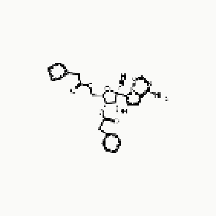 N#C[C@@]1(c2ccc3c(N)ncnn23)O[C@H](COC(=O)Cc2ccccc2)[C@@H](OC(=O)Cc2ccccc2)[C@H]1O